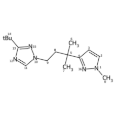 Cn1ccc(C(C)(C)CCn2cnc(C(C)(C)C)n2)n1